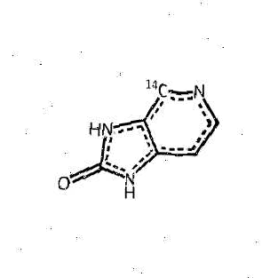 O=c1[nH]c2ccn[14cH]c2[nH]1